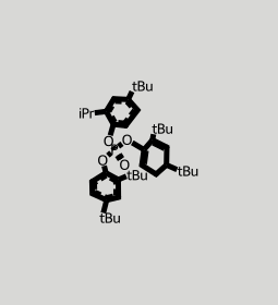 CC(C)c1cc(C(C)(C)C)ccc1OP(=O)(OC1=CCC(C(C)(C)C)C=C1C(C)(C)C)Oc1ccc(C(C)(C)C)cc1C(C)(C)C